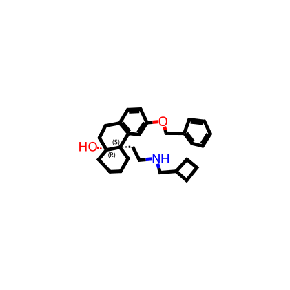 O[C@@]12CCCC[C@]1(CCNCC1CCC1)c1cc(OCc3ccccc3)ccc1CC2